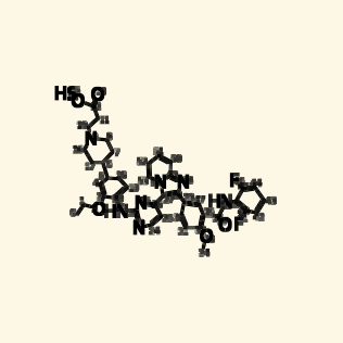 CCOC1=CC(C2CCN(CCC(=O)OS)CC2)CC=C1Nc1nccc(-c2c(-c3ccc(OC)c(C(=O)Nc4c(F)cccc4F)c3)nc3ccccn23)n1